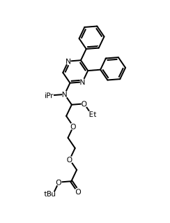 CCOC(COCCOCC(=O)OC(C)(C)C)N(c1cnc(-c2ccccc2)c(-c2ccccc2)n1)C(C)C